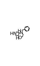 c1ccc(CN2CCO[C@@H]3CNC[C@H]32)cc1